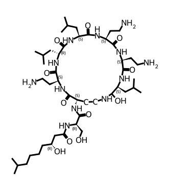 CC(C)CCCC[C@@H](O)CC(=O)N[C@H](CO)C(=O)N[C@H]1CCNC(O)[C@H](CC(C)C)NC(=O)[C@H](CCN)NC(=O)[C@H](CCN)NC(=O)[C@H](CC(C)C)NC(=O)[C@@H](CC(C)C)NC(=O)[C@H](CCN)NC1=O